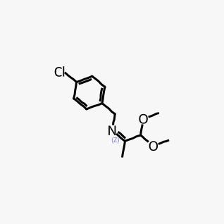 COC(OC)/C(C)=N\Cc1ccc(Cl)cc1